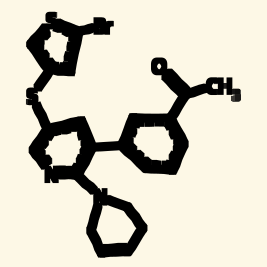 CC(=O)c1cccc(-c2cc(Sc3csc(Br)c3)cnc2N2CC=CCC2)c1